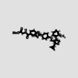 COC(=O)CNC(=O)c1ccc2nc(N3CCC(OCc4c(-c5ccccc5C)noc4C4CC4)CC3)sc2c1